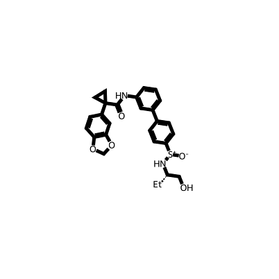 CC[C@@H](CO)N[S+]([O-])c1ccc(-c2cccc(NC(=O)C3(c4ccc5c(c4)OCO5)CC3)c2)cc1